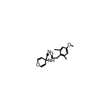 COc1cc(C)c(CC(=O)NC2(C#N)C=COC=C2)c(C)c1